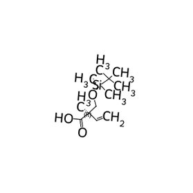 C=C[C@](C)(CO[Si](C)(C)C(C)(C)C)C(=O)O